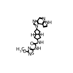 COc1nsc(NC(=O)NC2C[C@@H]3CC(n4cnc5cnc6[nH]ccc6c54)C[C@@H]3C2)n1